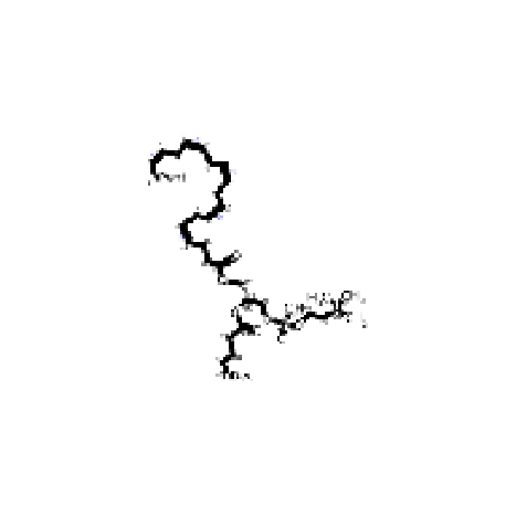 CCCCC/C=C\C/C=C\C/C=C\C/C=C\C/C=C\CCC(=O)OC[C@H](COP(=O)(O)OCC[N+](C)(C)C)OC(=O)CCCCCCCCCCCCC